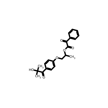 CC(COc1ccc(C(=O)C(C)(C)O)cc1)OC(=O)C(=O)c1ccccc1